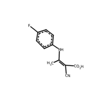 C/C(Nc1ccc(F)cc1)=C(\C#N)C(=O)O